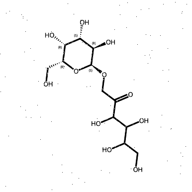 O=C(CO[C@H]1O[C@H](CO)[C@H](O)[C@H](O)[C@H]1O)C(O)C(O)C(O)CO